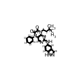 CC(C)CCn1c(=O)c(=O)n(-c2ccccc2)c2cnc(Nc3ccc4[nH]ncc4c3)nc21